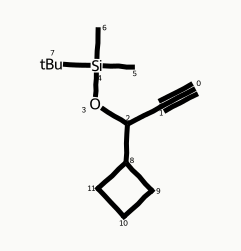 C#CC(O[Si](C)(C)C(C)(C)C)C1CCC1